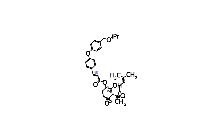 CC(C)=CCC1O[C@]1(C)C1[C@H](O)[C@H](OC(=O)/C=C/c2ccc(Oc3ccc(COC(C)C)cc3)cc2)CC[C@]12CO2